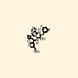 CC(C)(C)Cc1cnc2c(c1)C(NC[C@@H](O)[C@H](Cc1cc(F)cc(F)c1)Nc1nccn3cnnc13)CC1(CCC1)O2